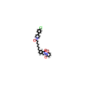 O=C(CCCCCCc1ccc2c(c1)C(=O)N(N1C(=O)CCCC1=O)C2)N1CCC(c2ccc(Cl)cc2)CC1